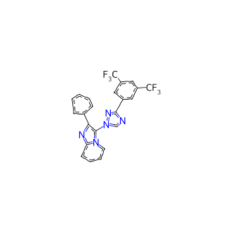 FC(F)(F)c1cc(-c2ncn(-c3c(-c4ccccc4)nc4ccccn34)n2)cc(C(F)(F)F)c1